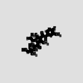 Cc1cc(NC(=O)c2c(C)c(C(=O)C(=O)NC(C)(C)CO)n(CCF)c2C)cnc1F